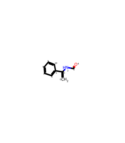 C=C(NC=O)c1ccccc1